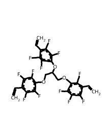 C=Cc1c(F)c(F)c(OCC(COc2c(F)c(F)c(F)c(C=C)c2F)Oc2c(F)c(F)c(C=C)c(F)c2F)c(F)c1F